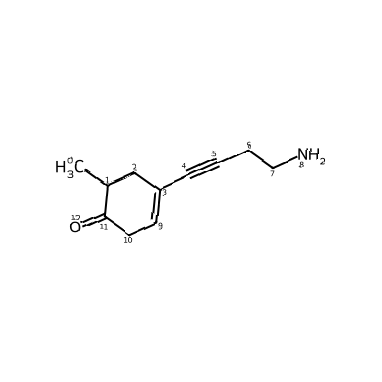 CC1CC(C#CCCN)=CCC1=O